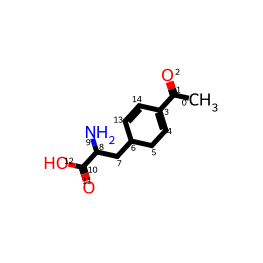 CC(=O)C1=CCC(CC(N)C(=O)O)C=C1